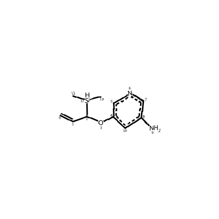 C=CC(Oc1cncc(N)c1)[SiH](C)C